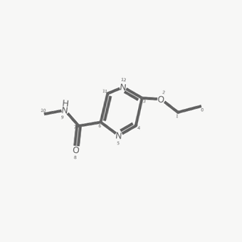 CCOc1cnc(C(=O)NC)cn1